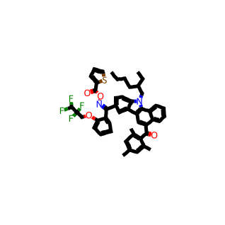 CCCCC(CC)Cn1c2ccc(/C(=N\OC(=O)c3cccs3)c3ccccc3OCC(F)(F)C(F)F)cc2c2cc(C(=O)c3c(C)cc(C)cc3C)c3ccccc3c21